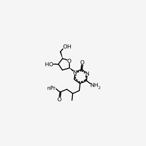 CCCC(=O)CC(C)Cc1cn([C@H]2CC(O)[C@@H](CO)O2)c(=O)nc1N